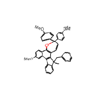 COc1ccc(C2(c3ccc(OC)cc3)C=Cc3c4c(c5cc(OC)ccc5c3O2)-c2ccccc2C4(C)Cc2ccccc2)cc1